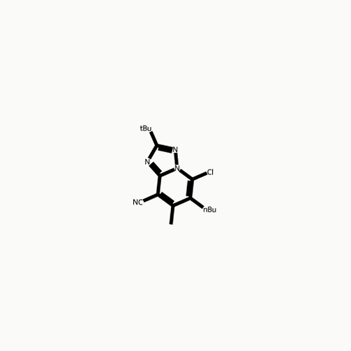 CCCCc1c(C)c(C#N)c2nc(C(C)(C)C)nn2c1Cl